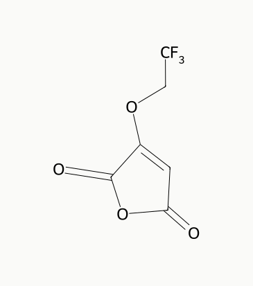 O=C1C=C(OCC(F)(F)F)C(=O)O1